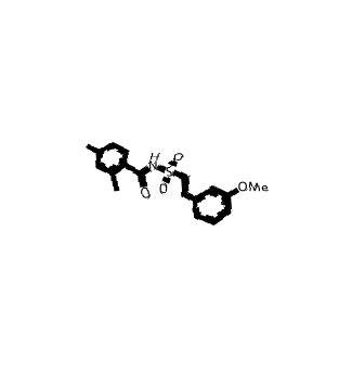 COc1cccc(C=CS(=O)(=O)NC(=O)c2ccc(C)cc2C)c1